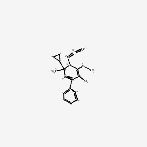 CCOC1=C(Cl)C(c2ccccc2)=NC(C)(C2CC2)N1N=C=O